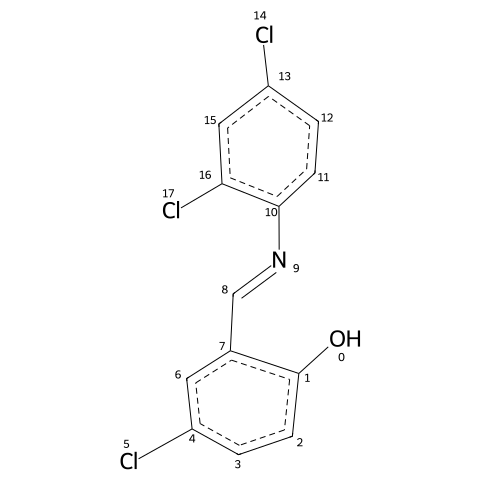 Oc1ccc(Cl)cc1C=Nc1ccc(Cl)cc1Cl